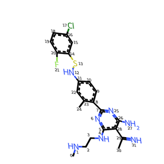 CNCCNc1nc(-c2ccc(NSc3cc(Cl)ccc3F)cc2C)nc(N)c1C(C)=N